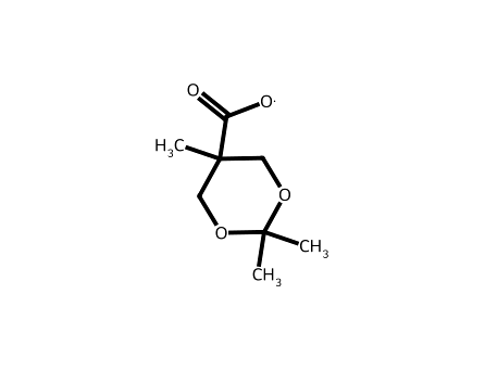 CC1(C)OCC(C)(C([O])=O)CO1